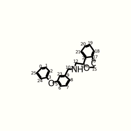 c1ccc(Oc2cccc(CNCC3OCCc4ccccc43)c2)cc1